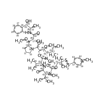 CC[C@H](C)[C@@H]([C@@H](CC(=O)N1CCC[C@H]1[C@H](OC)[C@@H](C)C(=O)N[C@H](C)[C@@H](O)c1ccccc1)OC)N(C)C(=O)[C@@H](NC(=O)[C@H](C(C)C)N(C)C(=O)OCC(C)(C)SSc1cc[n+](C)cc1)C(C)C